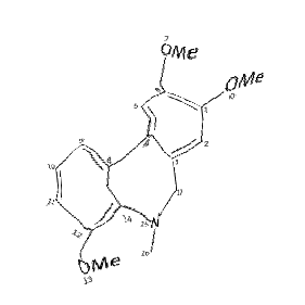 COc1cc2c(cc1OC)-c1cccc(OC)c1N(C)C2